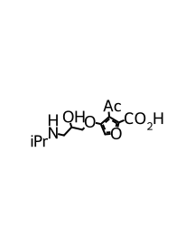 CC(=O)c1c(OCC(O)CNC(C)C)coc1C(=O)O